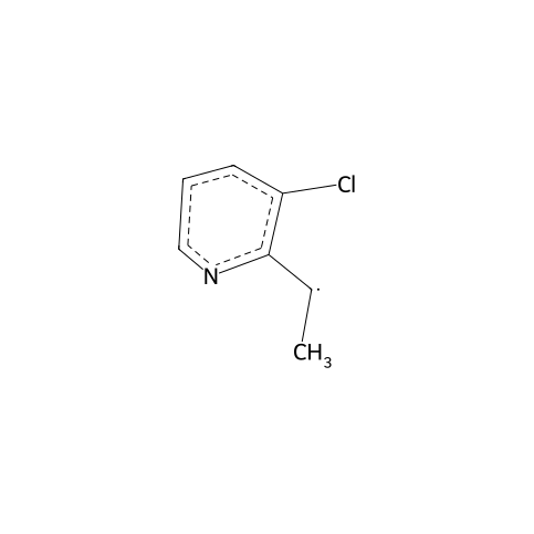 C[CH]c1ncccc1Cl